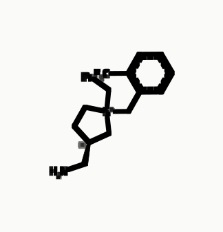 CC(C)C[N+]1(Cc2ccccc2C(F)(F)F)CC[C@H](CN)C1